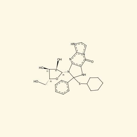 O=c1c2c(nc3[nH]ccn13)N([C@@H]1O[C@H](CO)[C@@H](O)[C@H]1O)C(SC1CCCCC1)(c1ccccc1)N2